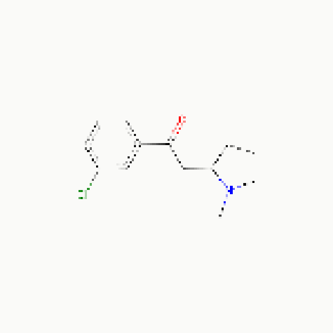 CN1CCCC1CC(=O)c1cccc(Cl)c1